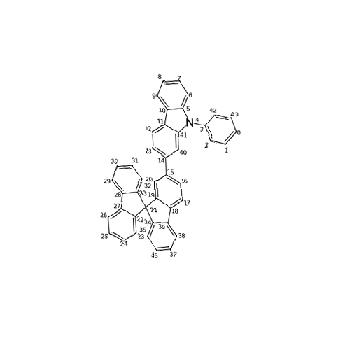 c1ccc(-n2c3ccccc3c3ccc(-c4ccc5c(c4)C4(c6ccccc6-c6ccccc64)c4ccccc4-5)cc32)cc1